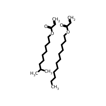 C=CC(=O)OCCCCCCCC(C)C.C=CC(=O)OCCCCCCCCCCCC